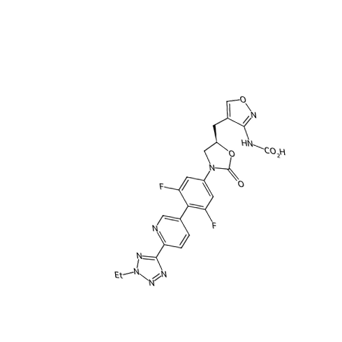 CCn1nnc(-c2ccc(-c3c(F)cc(N4C[C@@H](Cc5conc5NC(=O)O)OC4=O)cc3F)cn2)n1